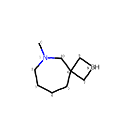 CN1CCCCC2(CBC2)C1